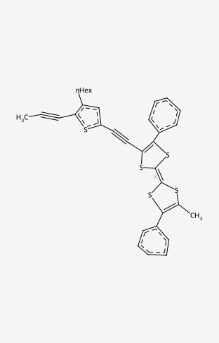 CC#Cc1sc(C#CC2=C(c3ccccc3)S/C(=C3\SC(C)=C(c4ccccc4)S3)S2)cc1CCCCCC